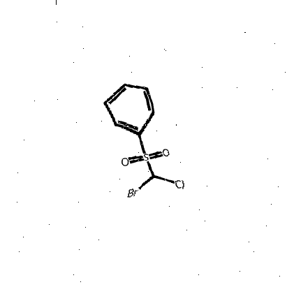 O=S(=O)(c1ccccc1)C(Cl)Br